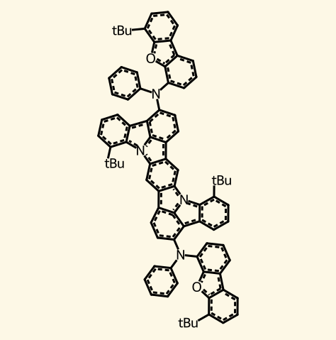 CC(C)(C)c1cccc2c1oc1c(N(c3ccccc3)c3ccc4c5cc6c(cc5n5c7c(C(C)(C)C)cccc7c3c45)c3ccc(N(c4ccccc4)c4cccc5c4oc4c(C(C)(C)C)cccc45)c4c5cccc(C(C)(C)C)c5n6c34)cccc12